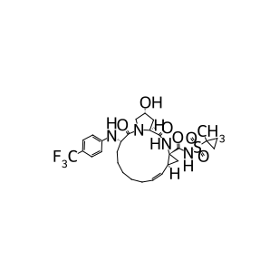 CC1(S(=O)(=O)NC(=O)[C@@]23C[C@H]2/C=C\CCCCC[C@H](Nc2ccc(C(F)(F)F)cc2)C(=O)N2C[C@H](O)C[C@H]2C(=O)N3)CC1